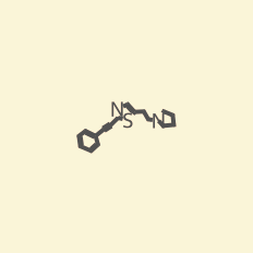 C(#Cc1ncc(CCN2CCCC2)s1)c1ccccc1